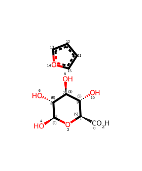 O=C(O)[C@H]1O[C@@H](O)[C@H](O)[C@@H](O)[C@@H]1O.c1ccoc1